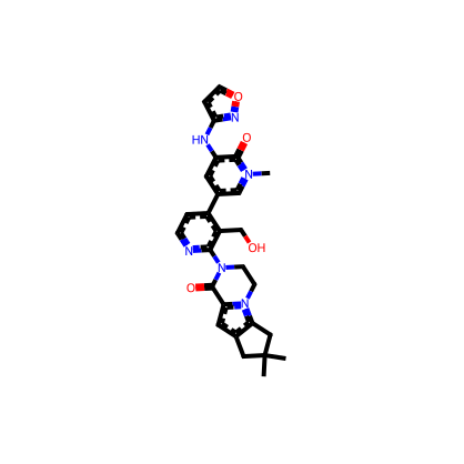 Cn1cc(-c2ccnc(N3CCn4c(cc5c4CC(C)(C)C5)C3=O)c2CO)cc(Nc2ccon2)c1=O